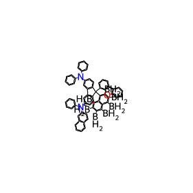 Bc1c(B)c(B)c2c(C3(c4cccc5c4oc4ccccc45)c4ccc(N(c5ccccc5)c5ccccc5)cc4-c4cc(N(c5ccccc5)c5ccc6ccccc6c5)ccc43)c(B)c(B)c(B)c2c1B